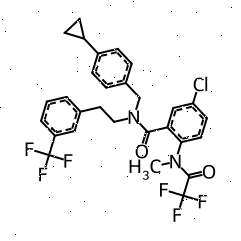 CN(C(=O)C(F)(F)F)c1ccc(Cl)cc1C(=O)N(CCc1cccc(C(F)(F)F)c1)Cc1ccc(C2CC2)cc1